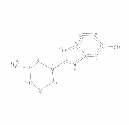 C[C@@H]1CN(c2nc3cc(Cl)c#cc3o2)CCO1